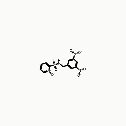 O=[N+]([O-])c1cc(CNS(=O)(=O)c2cccc[n+]2[O-])cc([N+](=O)[O-])c1